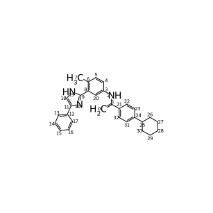 C=C(Nc1ccc(C)c(-c2nc(-c3ccccc3)c[nH]2)c1)c1ccc(C2CCCCC2)cc1